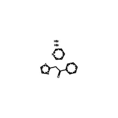 Br.Br.O=C(Cc1nccs1)c1ccccc1.c1ccncc1